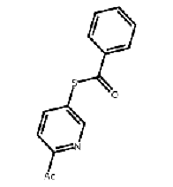 CC(=O)c1ccc(SC(=O)c2ccccc2)cn1